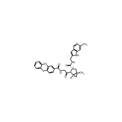 Cc1cc2[nH]c(CNC(=O)[C@@H]3C[C@]4(C)C[C@@H]4N3C(=O)CNC(=O)c3ccc4c(c3)Oc3ccccc3S4)cc2cn1